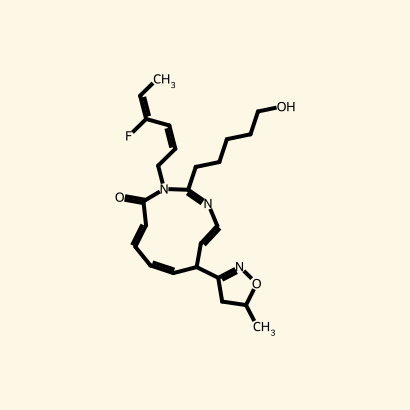 C/C=C(F)\C=C/CN1C(=O)/C=C/C=CC(C2=NOC(C)C2)/C=C/N=C\1CCCCCO